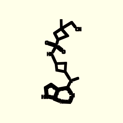 CN(c1ncnc2[nH]ccc12)C1CC(NS(=O)(=O)C2CC(C)(CC#N)C2)C1